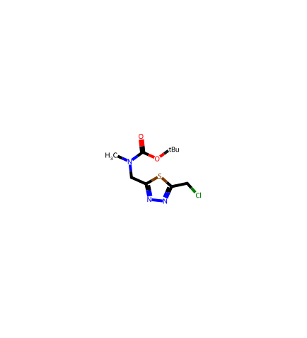 CN(Cc1nnc(CCl)s1)C(=O)OC(C)(C)C